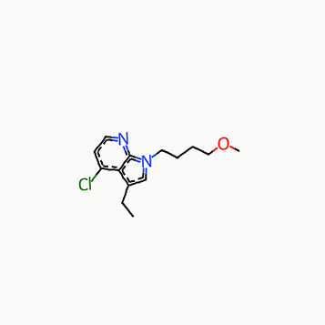 CCc1cn(CCCCOC)c2nccc(Cl)c12